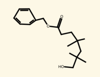 CC(C)(CO)CC(C)(C)CCC(=O)OCc1ccccc1